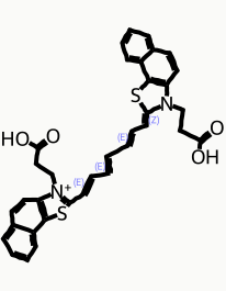 O=C(O)CCN1/C(=C/C=C/C=C/C=C/c2sc3c4ccccc4ccc3[n+]2CCC(=O)O)Sc2c1ccc1ccccc21